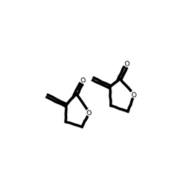 C=C1CCOC1=O.C=C1CCOC1=O